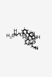 CNCCOc1cccc(-c2cnc3[nH]ccc3c2N[C@@H]2CCCN(C(=O)CC#N)C2)n1